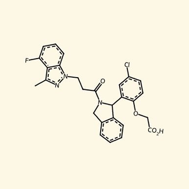 Cc1nn(CCC(=O)N2Cc3ccccc3C2c2cc(Cl)ccc2OCC(=O)O)c2cccc(F)c12